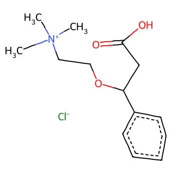 C[N+](C)(C)CCOC(CC(=O)O)c1ccccc1.[Cl-]